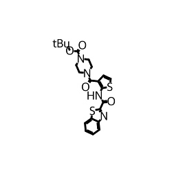 CC(C)(C)OC(=O)N1CCN(C(=O)c2ccsc2NC(=O)c2nc3ccccc3s2)CC1